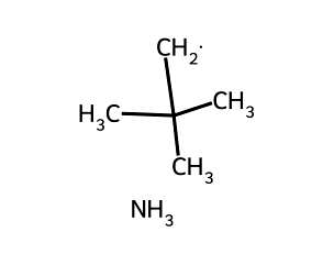 N.[CH2]C(C)(C)C